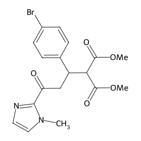 COC(=O)C(C(=O)OC)C(CC(=O)c1nccn1C)c1ccc(Br)cc1